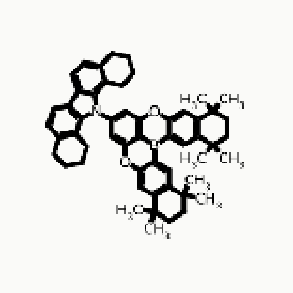 CC1(C)CCC(C)(C)c2cc3c(cc21)Oc1cc(-n2c4c5c(ccc4c4ccc6c(c42)CCCC6)CCCC5)cc2c1B3c1cc3c(cc1O2)C(C)(C)CCC3(C)C